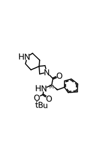 CC(C)(C)OC(=O)N[C@H](Cc1ccccc1)C(=O)N1CC2(CCNCC2)C1